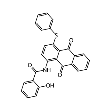 O=C(Nc1ccc(Sc2ccccc2)c2c1C(=O)c1ccccc1C2=O)c1ccccc1O